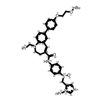 CCCCOCCOc1ccc(-c2ccc3c(c2)C=C(C(=O)Nc2ccc([S+]([O-])Cc4cncn4CCC)cc2)CCN3CC(C)C)cc1